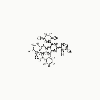 C[C@H]1CC[C@H](Cn2c(N3CCOC[C@H]3c3ccccc3)nc3nc(-c4noc(=O)[nH]4)nc(-n4cc(Cl)ccc4=O)c32)CC1